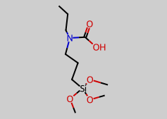 CCCN(CCC[Si](OC)(OC)OC)C(=O)O